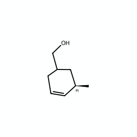 C[C@H]1C=CCC(CO)C1